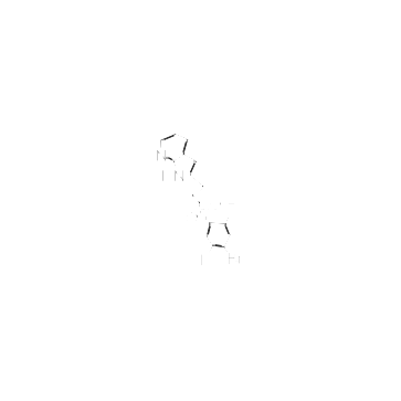 O=S(=O)(NCc1cc2cccnc2[nH]1)c1cc(F)c(Br)cc1F